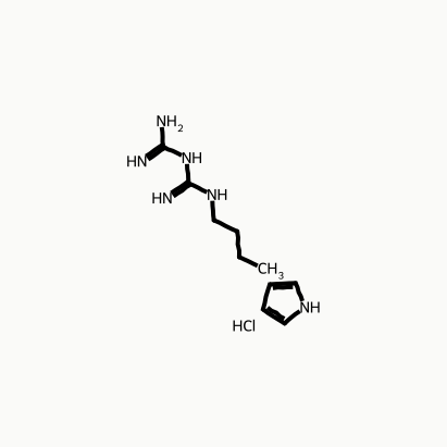 CCCCNC(=N)NC(=N)N.Cl.c1cc[nH]c1